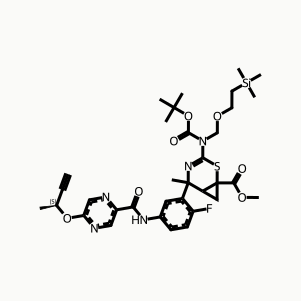 C#C[C@H](C)Oc1cnc(C(=O)Nc2ccc(F)c(C3(C)N=C(N(COCC[Si](C)(C)C)C(=O)OC(C)(C)C)SC4(C(=O)OC)CC43)c2)cn1